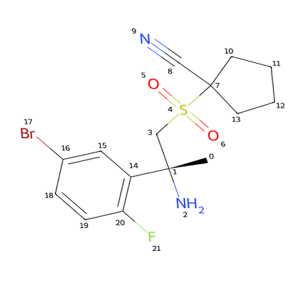 C[C@](N)(CS(=O)(=O)C1(C#N)CCCC1)c1cc(Br)ccc1F